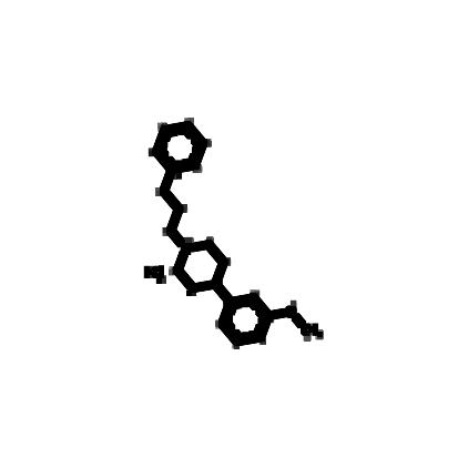 COc1cccc(C2CCN(CCCc3ccccc3)CC2)c1.Cl